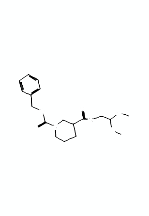 COC(CNC(=O)C1CCCN(C(=O)OCc2ccccc2)C1)OC